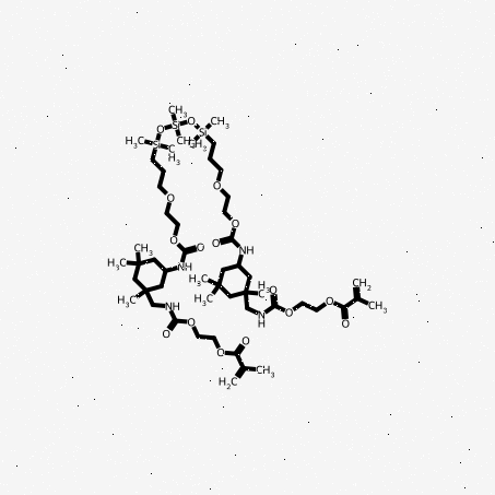 C=C(C)C(=O)OCCOC(=O)NCC1(C)CC(NC(=O)OCCOCCC[Si](C)(C)O[Si](C)(C)O[Si](C)(C)CCCOCCOC(=O)NC2CC(C)(C)CC(C)(CNC(=O)OCCOC(=O)C(=C)C)C2)CC(C)(C)C1